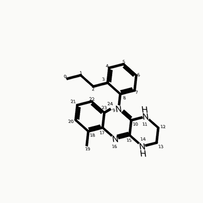 CCCc1ccccc1/N=C1\NCCN\C1=N\c1c(C)cccc1C